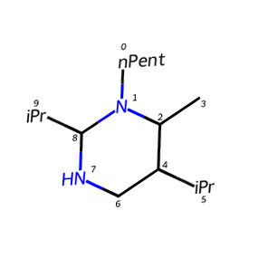 CCCCCN1C(C)C(C(C)C)CNC1C(C)C